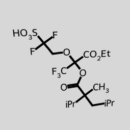 CCOC(=O)C(OCC(F)(F)S(=O)(=O)O)(OC(=O)C(C)(CC(C)C)C(C)C)C(F)(F)F